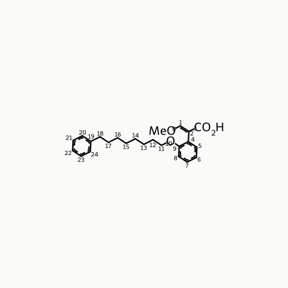 CO/C=C(/C(=O)O)c1ccccc1OCCCCCCCCc1ccccc1